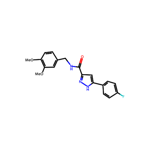 COc1ccc(CNC(=O)c2cc(-c3ccc(F)cc3)[nH]n2)cc1OC